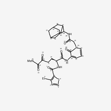 CCc1nnsc1C(=O)N[C@@H](CCC(=O)C(=O)NC)C(=O)Nc1cccn(CC(=O)NC2C3CC4CC(C3)CC2C4)c1=O